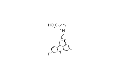 O=C(O)[C@@H]1CCCN(CCOCC(c2ccc(F)cc2F)c2ccc(F)cc2F)C1